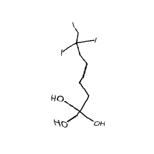 OC(O)(O)CCCC(I)(I)I